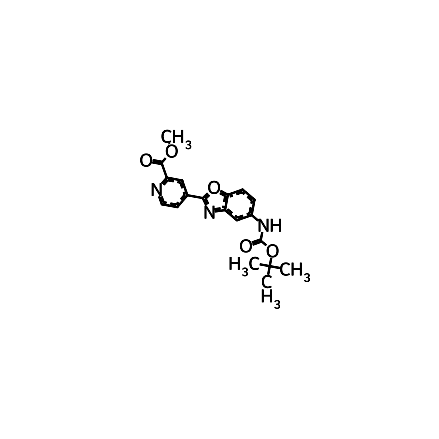 COC(=O)c1cc(-c2nc3cc(NC(=O)OC(C)(C)C)ccc3o2)ccn1